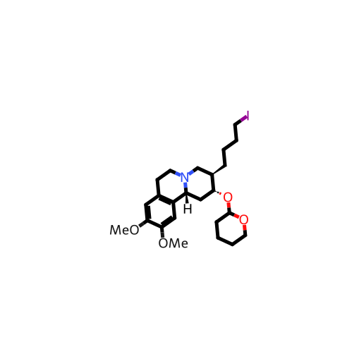 COc1cc2c(cc1OC)[C@H]1C[C@@H](OC3CCCCO3)[C@H](CCCCI)CN1CC2